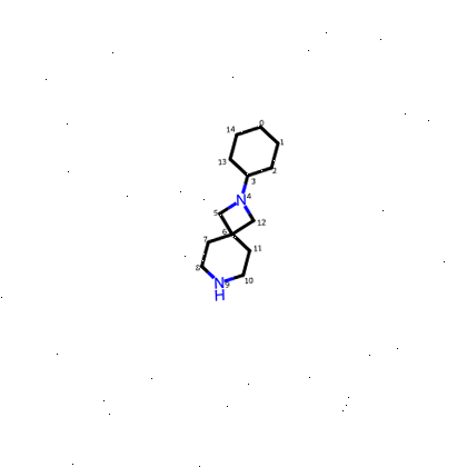 C1CCC(N2CC3(CCNCC3)C2)CC1